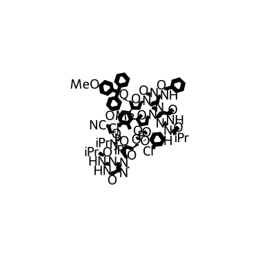 COc1ccc(C(OC[C@@H]2O[C@@H](n3ccc(NC(=O)c4ccccc4)nc3=O)C[C@H]2c2c[c]c(Cl)c(C)c2[C@H]2O[C@@H](n3cnc4c(=O)[nH]c(NC(=O)C(C)C)nc43)C[C@@H]2OP(=O)(OC[C@H]2O[C@@H](n3cnc4c(=O)[nH]c(NC(=O)C(C)C)nc43)C[C@@H]2OP(OCCC#N)N(C(C)C)C(C)C)Oc2ccccc2Cl)(c2ccccc2)c2ccc(OC)cc2)cc1